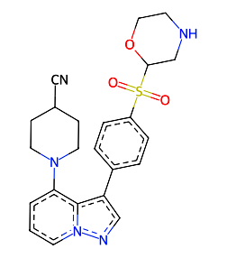 N#CC1CCN(c2cccn3ncc(-c4ccc(S(=O)(=O)C5CNCCO5)cc4)c23)CC1